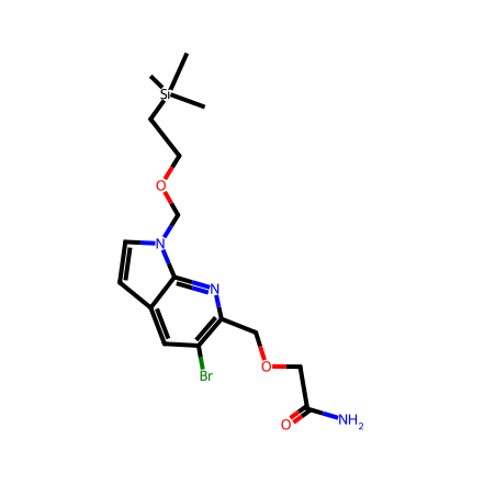 C[Si](C)(C)CCOCn1ccc2cc(Br)c(COCC(N)=O)nc21